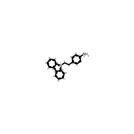 Nc1ccc(CCn2c3ccccc3c3ccccc32)cc1